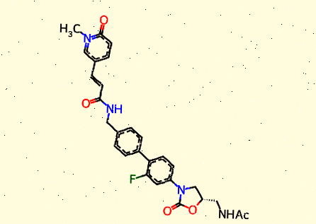 CC(=O)NC[C@H]1CN(c2ccc(-c3ccc(CNC(=O)C=Cc4ccc(=O)n(C)c4)cc3)c(F)c2)C(=O)O1